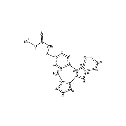 CC(C)(C)OC(=O)NCc1ccc(-n2c(-c3nonc3N)nc3cnccc32)cc1